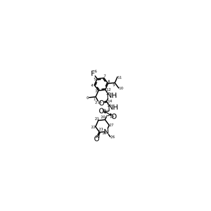 CC(C)c1cc(F)cc(C(C)C)c1NC(=O)NS(=O)(=O)C1CCC(=O)N(C)C1